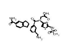 CS(=O)(=O)Nc1nc(N(CC(=O)O)C(=O)c2cccc(CN)c2)cs1.NC(=O)c1ccc2c(c1)CCC2